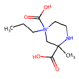 CCC[N+]1(C(=O)O)CCNC(C)(C(=O)O)C1